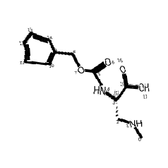 CNC[C@H](NC(=O)OCc1ccccc1)C(=O)O